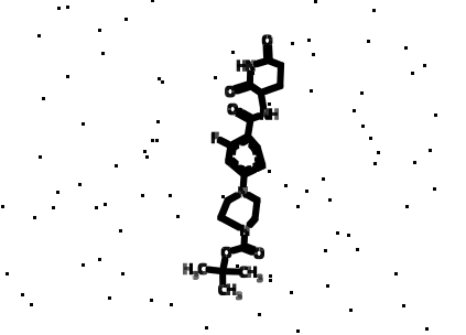 CC(C)(C)OC(=O)N1CCN(c2ccc(C(=O)NC3CCC(=O)NC3=O)c(F)c2)CC1